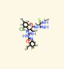 CCN/C(F)=C(\C=N)CNC(=O)C1=C(C)NC(Nc2nc3ccc(F)c(CC)c3o2)=NC1c1ccc(C)cc1Cl